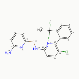 CC(F)(F)c1ccccc1-c1nc(NSc2cccc(N)n2)ccc1Cl